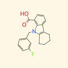 O=C(O)c1cccc2c3c(n(Cc4cccc(F)c4)c12)CCCC3